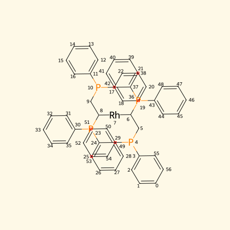 c1ccc(P(C[CH]([Rh][CH](CP(c2ccccc2)c2ccccc2)P(c2ccccc2)c2ccccc2)P(c2ccccc2)c2ccccc2)c2ccccc2)cc1